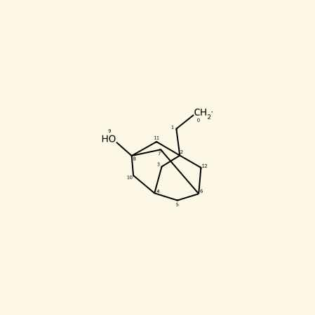 [CH2]CC12CC3CC(CC(O)(C3)C1)C2